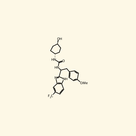 COc1ccc(CC(NC(=O)N[C@H]2CC[C@H](O)CC2)c2nc3cc(C(F)(F)F)ccc3[nH]2)cc1